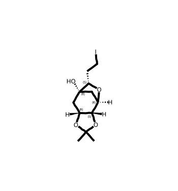 CC1(C)O[C@H]2[C@H]3C[C@@](O)(C[C@H]2O1)[C@H](CCI)O3